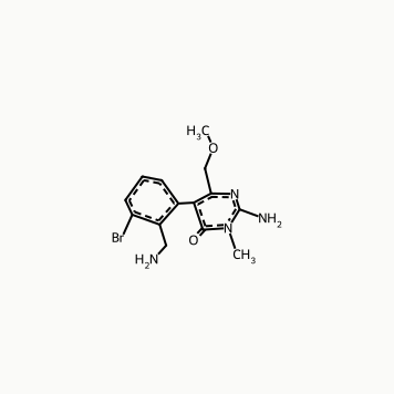 COCc1nc(N)n(C)c(=O)c1-c1cccc(Br)c1CN